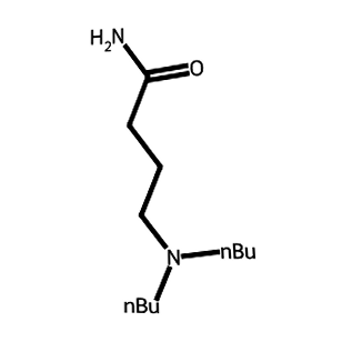 CCCCN(CCCC)CCCC(N)=O